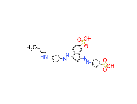 C=CCCNc1ccc(N=Nc2ccc(N=Nc3ccc(S(=O)(=O)O)cc3)c3cc(S(=O)(=O)O)ccc23)cc1